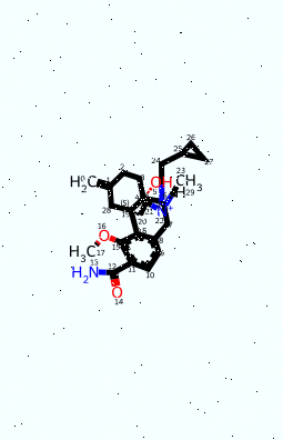 C=C1CC[C@@]2(O)[C@H]3Cc4ccc(C(N)=O)c(OC)c4[C@@]2(CC[N+]3(C)CC2CC2)C1